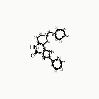 O=c1[nH]c2c(c3nc(-c4ccccn4)nn13)CN(Cc1ccccc1)CC2